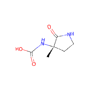 C[C@]1(NC(=O)O)CCNC1=O